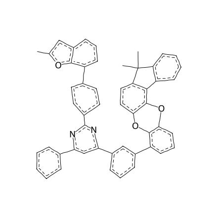 Cc1cc2cccc(-c3ccc(-c4nc(-c5ccccc5)cc(-c5cccc(-c6cccc7c6Oc6ccc8c(c6O7)-c6ccccc6C8(C)C)c5)n4)cc3)c2o1